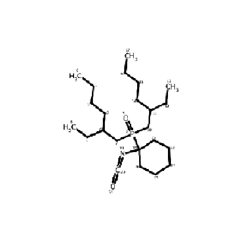 CCCCC(CC)CP(=O)(CC(CC)CCCC)C1(N=C=O)CCCCC1